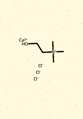 C[N+](C)(C)CCO.[Ca+2].[Cl-].[Cl-].[Cl-]